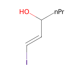 CCCC(O)/C=C/I